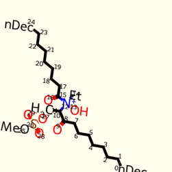 CCCCCCCCCCCCCCCCCC(=O)C(C)[N+](O)(CC)C(=O)CCCCCCCCCCCCCCCCC.COS(=O)(=O)[O-]